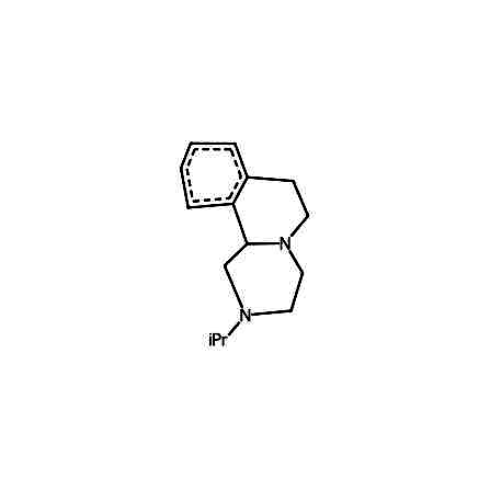 CC(C)N1CCN2CCc3ccccc3C2C1